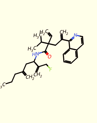 C=CC(CC(=C)c1nccc2ccccc12)(C(=O)NC(CC(=C)CCC)C(=C)CF)C(C)C